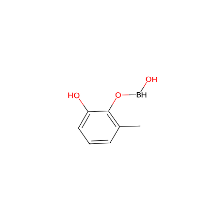 Cc1cccc(O)c1OBO